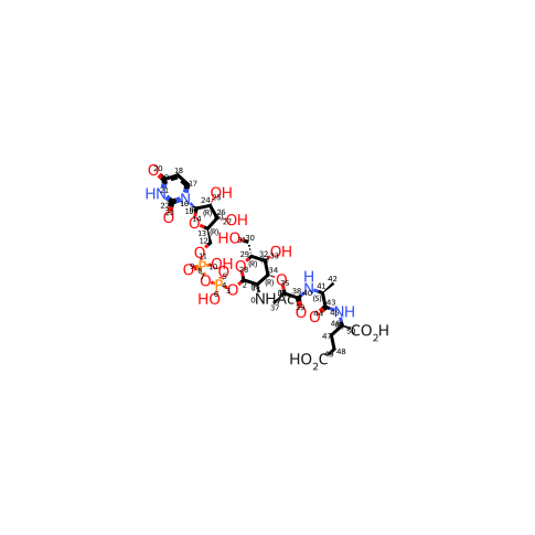 CC(=O)N[C@H]1C(OP(=O)(O)OP(=O)(O)OC[C@H]2O[C@@H](n3ccc(=O)[nH]c3=O)[C@H](O)[C@@H]2O)O[C@H](CO)[C@@H](O)[C@@H]1O[C@H](C)C(=O)N[C@@H](C)C(=O)N[C@H](CCC(=O)O)C(=O)O